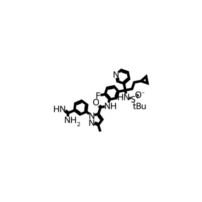 Cc1cc(C(=O)Nc2cc(C(CCC3CC3)(N[S+]([O-])C(C)(C)C)c3cccnc3)ccc2F)n(-c2cccc(C(=N)N)c2)n1